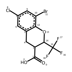 O=C(O)C1Cc2cc(Cl)cc(Br)c2OC1C(F)(F)F